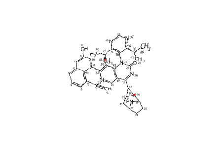 C#Cc1cccc2cc(O)cc(-c3ncc4c(C5C6C7CCC(C[C@H]56)N7)nc(=O)n(-c5c(C(C)C)ncnc5C(C)C)c4c3F)c12